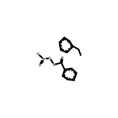 CCc1ccccc1.O=C(OO[N+](=O)[O-])c1ccccc1